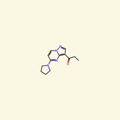 CCC(=O)c1cnn2ccc(N3CCCC3)nc12